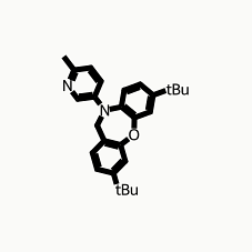 Cc1ccc(N2Cc3ccc(C(C)(C)C)cc3Oc3cc(C(C)(C)C)ccc32)cn1